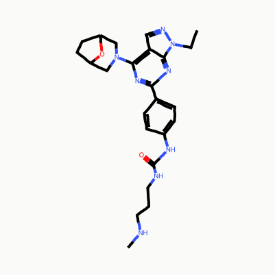 CCn1ncc2c(N3CC4CCC(C3)O4)nc(-c3ccc(NC(=O)NCCCNC)cc3)nc21